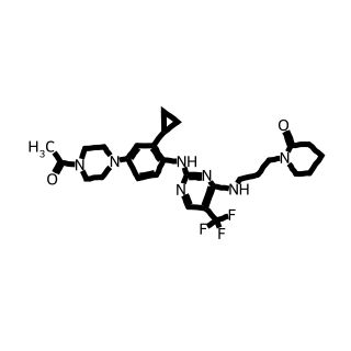 CC(=O)N1CCN(c2ccc(Nc3ncc(C(F)(F)F)c(NCCCN4CCCCC4=O)n3)c(C3CC3)c2)CC1